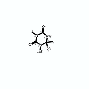 CCN1C(=O)N(C)C(=O)NC1(C)S